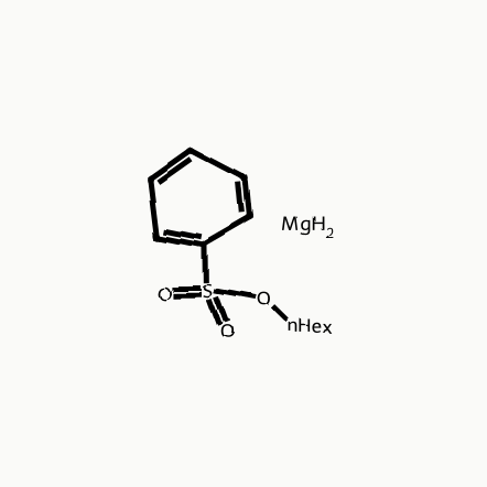 CCCCCCOS(=O)(=O)c1ccccc1.[MgH2]